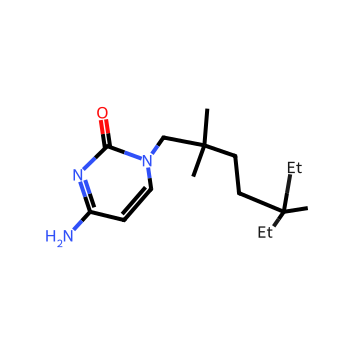 CCC(C)(CC)CCC(C)(C)Cn1ccc(N)nc1=O